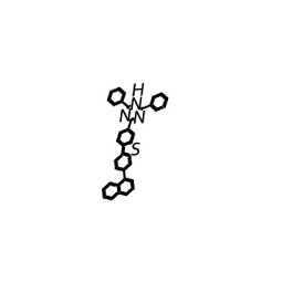 c1ccc(C2=NC(c3ccc4c(c3)sc3cc(-c5cccc6ccccc56)ccc34)=NC(c3ccccc3)N2)cc1